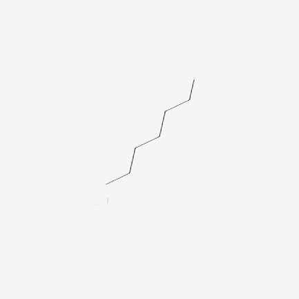 O.[LiH].[Li][CH2]CCCCC